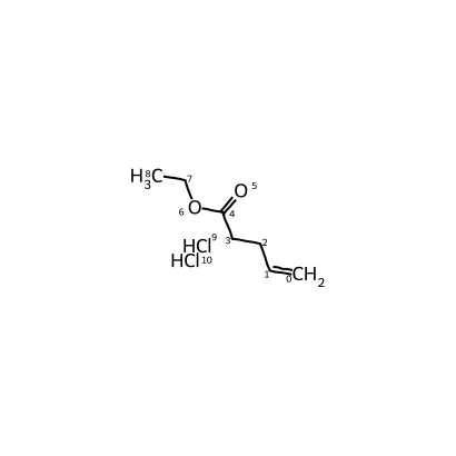 C=CCCC(=O)OCC.Cl.Cl